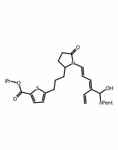 C=C/C(=C\C=C\N1C(=O)CCC1CCCc1ccc(C(=O)OC(C)C)s1)C(O)CCCCC